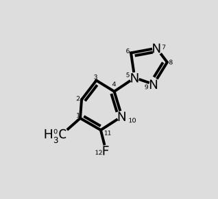 Cc1ccc(-n2cncn2)nc1F